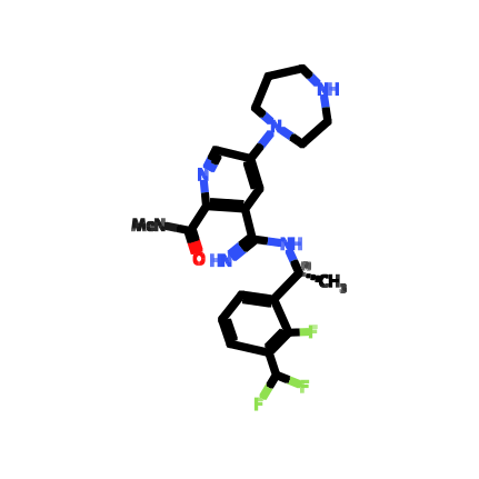 CNC(=O)c1ncc(N2CCCNCC2)cc1C(=N)N[C@H](C)c1cccc(C(F)F)c1F